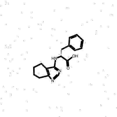 O=C(O)[C@@H](Cc1ccccc1)Nc1ncnc2c1CCCC2